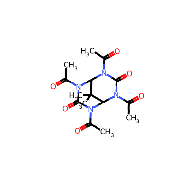 CC(=O)N1C(=O)N(C(C)=O)C2N(C(C)=O)C(=O)N(C(C)=O)C1C2(C)C